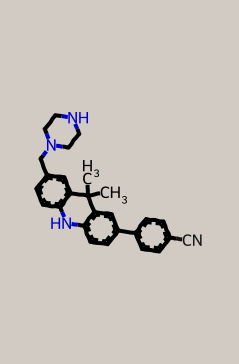 CC1(C)c2cc(CN3CCNCC3)ccc2Nc2ccc(-c3ccc(C#N)cc3)cc21